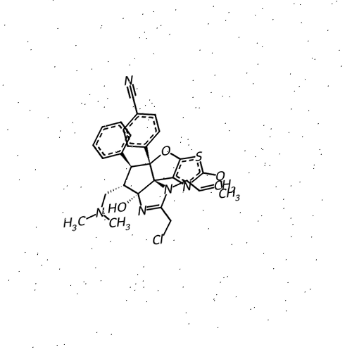 C=CCN1C(CCl)=N[C@@]2(O)[C@H](CN(C)C)[C@@H](c3ccccc3)[C@]3(c4ccc(C#N)cc4)Oc4sc(OC)nc4[C@]123